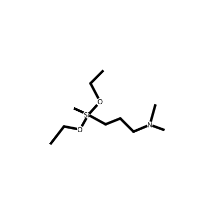 CCO[Si](C)(CCCN(C)C)OCC